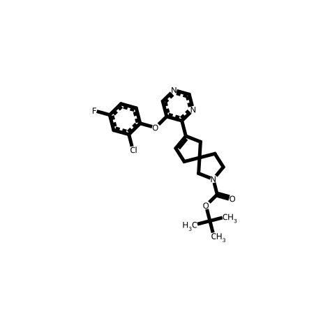 CC(C)(C)OC(=O)N1CCC2(CC=C(c3ncncc3Oc3ccc(F)cc3Cl)C2)C1